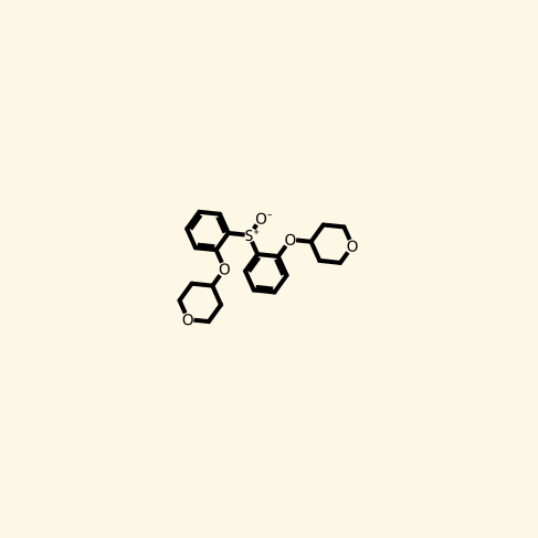 [O-][S+](c1ccccc1OC1CCOCC1)c1ccccc1OC1CCOCC1